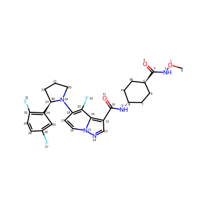 CONC(=O)[C@H]1CC[C@H](NC(=O)c2cnn3ccc(N4CCC[C@@H]4c4cc(F)ccc4F)c(F)c23)CC1